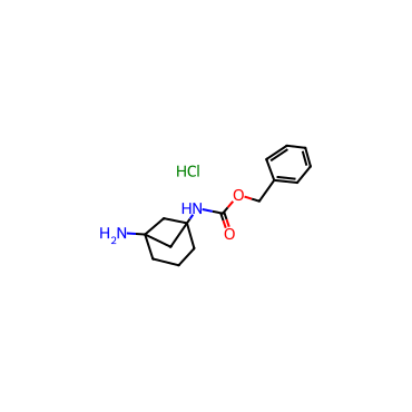 Cl.NC12CCCC(NC(=O)OCc3ccccc3)(C1)C2